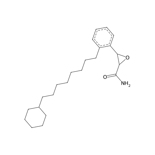 NC(=O)C1OC1c1ccccc1CCCCCCCCC1CCCCC1